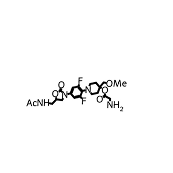 COCC1(OC(=O)CN)CCN(c2c(F)cc(N3CC(CNC(C)=O)OC3=O)cc2F)CC1